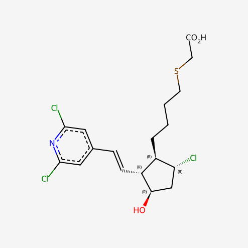 O=C(O)CSCCCC[C@@H]1[C@@H](C=Cc2cc(Cl)nc(Cl)c2)[C@H](O)C[C@H]1Cl